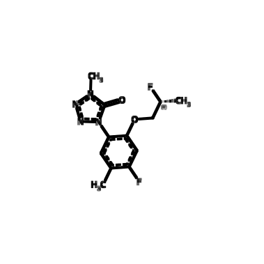 Cc1cc(-n2nnn(C)c2=O)c(OC[C@@H](C)F)cc1F